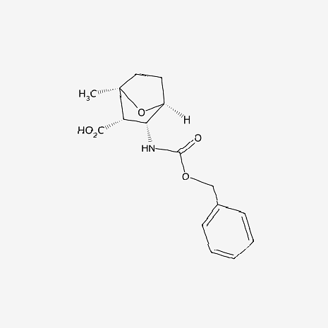 C[C@]12CC[C@H](O1)[C@H](NC(=O)OCc1ccccc1)[C@@H]2C(=O)O